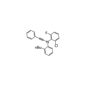 CCCCc1ccccc1N(C#Cc1ccccc1)c1c(F)cccc1Cl